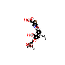 Cc1cc(OCCCS(C)(=O)=O)cc(CO)c1-c1cccc(COc2cc3c(cn2)C(CC(=O)O)CS3)c1